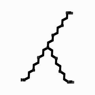 COCCOCCOCCN(CCOCCOCCO)CCOCCOCCOC